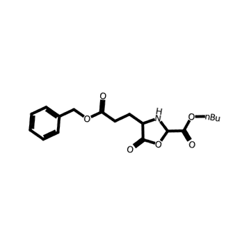 CCCCOC(=O)C1NC(CCC(=O)OCc2ccccc2)C(=O)O1